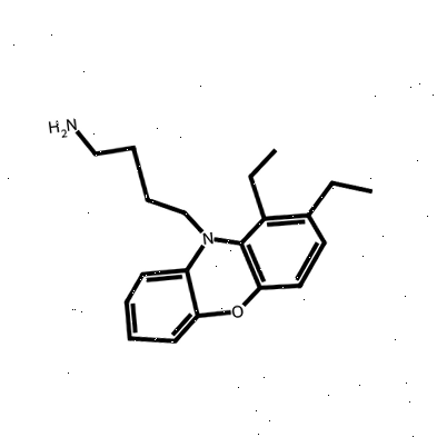 CCc1ccc2c(c1CC)N(CCCCN)c1ccccc1O2